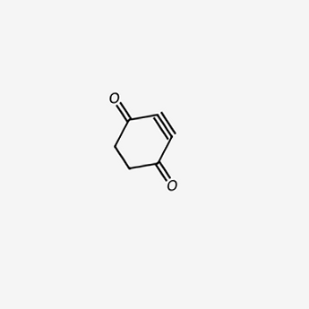 O=C1C#CC(=O)CC1